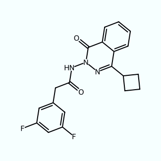 O=C(Cc1cc(F)cc(F)c1)Nn1nc(C2CCC2)c2ccccc2c1=O